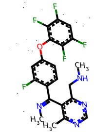 C/N=C(/c1ccc(Oc2c(F)c(F)cc(F)c2F)cc1F)c1c(C)ncnc1CNC